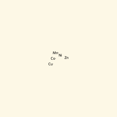 [Co].[Cu].[Mn].[Ni].[Zn]